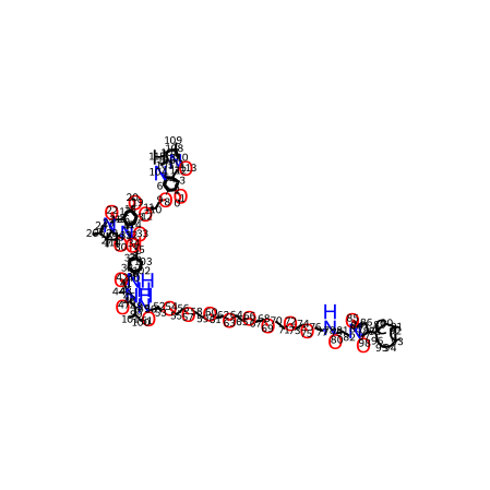 COc1cc2c(cc1OCCCOc1cc3c(cc1OC)C(=O)N1C=C(C)C[C@H]1[C@H](O)N3C(=O)OCc1ccc(NC(=O)[C@H](C)NC(=O)[C@@H](NC(=O)CCOCCOCCOCCOCCOCCOCCOCCOCCNC(=O)CCN3C(=O)CC(C4CCCCCCCC4)C3=O)C(C)C)cc1)N=C[C@@H]1CC(C)=CN1C2=O